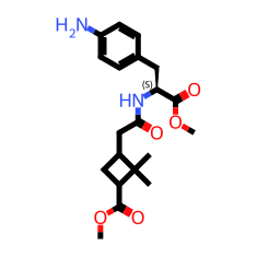 COC(=O)C1CC(CC(=O)N[C@@H](Cc2ccc(N)cc2)C(=O)OC)C1(C)C